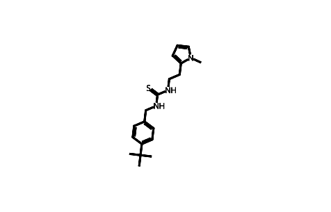 Cn1cccc1CCNC(=S)NCc1ccc(C(C)(C)C)cc1